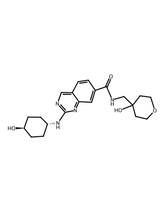 O=C(NCC1(O)CCOCC1)c1ccc2cnc(N[C@H]3CC[C@H](O)CC3)nc2c1